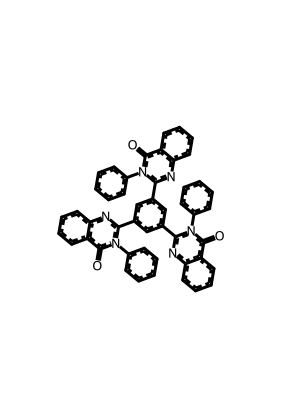 O=c1c2ccccc2nc(-c2cc(-c3nc4ccccc4c(=O)n3-c3ccccc3)cc(-c3nc4ccccc4c(=O)n3-c3ccccc3)c2)n1-c1ccccc1